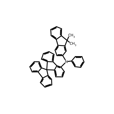 CC1(C)c2ccccc2-c2ccc(N(c3ccccc3)c3cccc4c3-c3ccccc3C43c4ccccc4-c4ccccc43)cc21